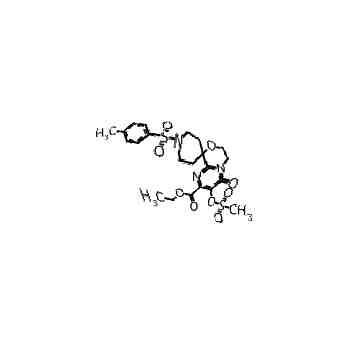 CCOC(=O)c1nc2n(c(=O)c1OS(C)(=O)=O)CCOC21CCN(S(=O)(=O)c2ccc(C)cc2)CC1